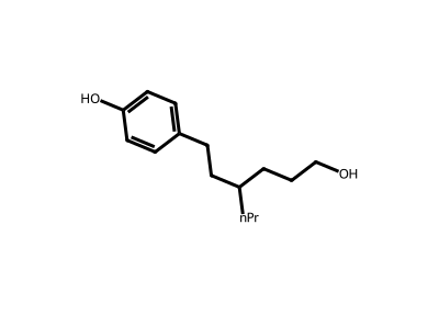 CCCC(CCCO)CCc1ccc(O)cc1